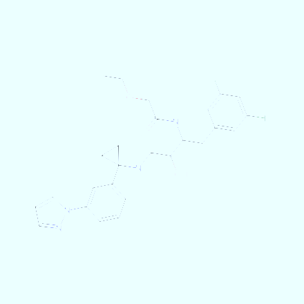 CCOCC(=O)NC(Cc1cc(F)cc(F)c1)C(O)CNC1(c2cccc(-n3cccn3)c2)CC1